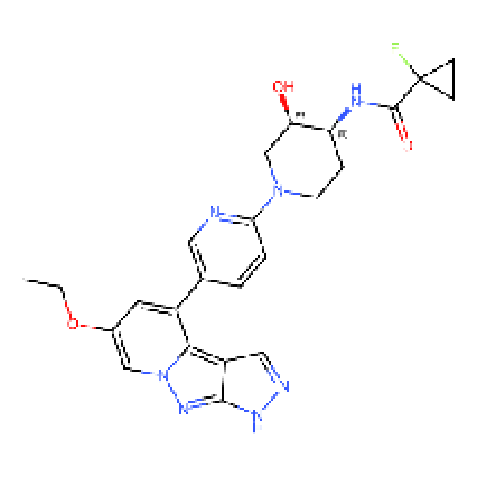 CCOc1cc(-c2ccc(N3CC[C@H](NC(=O)C4(F)CC4)[C@H](O)C3)nc2)c2c3cn[nH]c3nn2c1